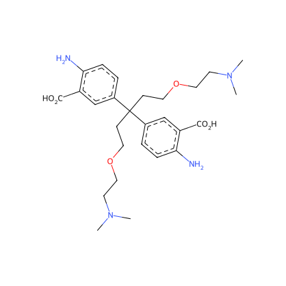 CN(C)CCOCCC(CCOCCN(C)C)(c1ccc(N)c(C(=O)O)c1)c1ccc(N)c(C(=O)O)c1